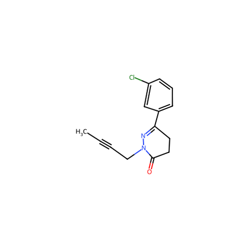 CC#CCN1N=C(c2cccc(Cl)c2)CCC1=O